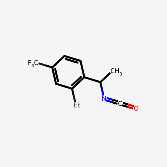 CCc1cc(C(F)(F)F)ccc1C(C)N=C=O